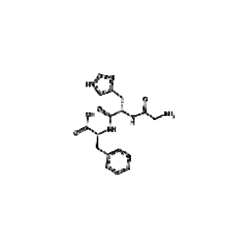 NCC(=O)N[C@@H](Cc1c[nH]cn1)C(=O)N[C@@H](Cc1ccccc1)C(=O)O